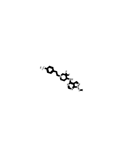 FC(F)(F)c1ccc(CCN2CCC(Nc3ncnc4c3cnn4SI)C(F)(F)C2)cc1